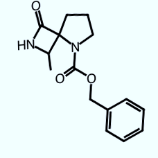 CC1NC(=O)C12CCCN2C(=O)OCc1ccccc1